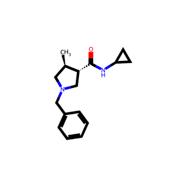 C[C@@H]1CN(Cc2ccccc2)C[C@H]1C(=O)NC1CC1